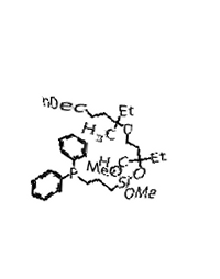 CCCCCCCCCCCCC(C)(CC)OCCC(C)(CC)O[Si](CCCP(c1ccccc1)c1ccccc1)(OC)OC